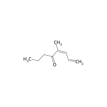 C=CC=C(C)C(=O)CCC